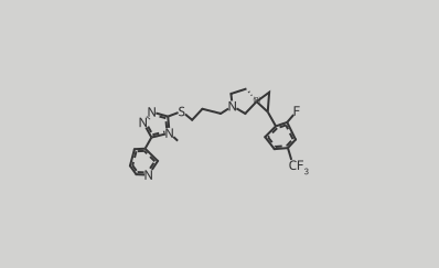 Cn1c(SCCCN2CC[C@@]3(CC3c3ccc(C(F)(F)F)cc3F)C2)nnc1-c1cccnc1